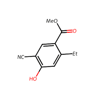 CCc1cc(O)c(C#N)cc1C(=O)OC